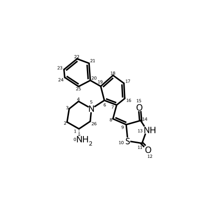 N[C@@H]1CCCN(c2c(/C=C3/SC(=O)NC3=O)cccc2-c2ccccc2)C1